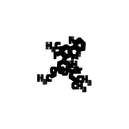 CCOC(=O)CC(NC(=O)C(Br)CC(C)C)c1c(F)c(C)cc(-c2c(F)cccc2F)c1F